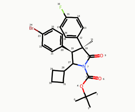 CC(C)(C)OC(=O)N1C(=O)[C@](C)(c2ccc(F)cc2)[C@H](c2ccc(Br)cc2)C1C1CCC1